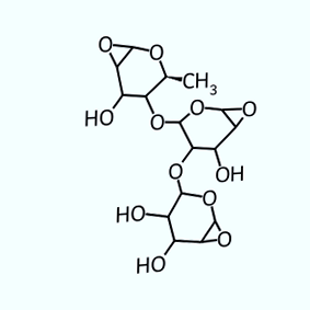 C[C@@H]1OC2OC2C(O)C1OC1OC2OC2C(O)C1OC1OC2OC2C(O)C1O